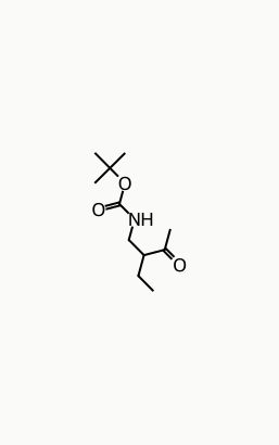 CCC(CNC(=O)OC(C)(C)C)C(C)=O